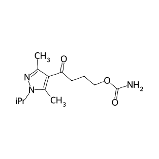 Cc1nn(C(C)C)c(C)c1C(=O)CCCOC(N)=O